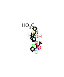 O=C(O)c1ccc2nc(C(O)[C@H]3C4CC5C[C@H]3C[C@](OCc3c(-c6c(Cl)cccc6Cl)noc3C3CC3)(C5)C4)sc2c1